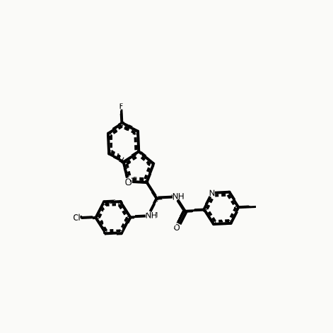 Cc1ccc(C(=O)NC(Nc2ccc(Cl)cc2)c2cc3cc(F)ccc3o2)nc1